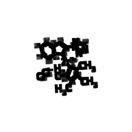 CC1=C(C)C(C)[C]([Zr+2][CH]2C(n3ncnn3)=Cc3ccccc32)=C1C.[Cl-].[Cl-]